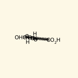 O=[C]CCC(=O)NCCOCCOCCNC(=O)CCCCCCCCCCCCCCCC(=O)O